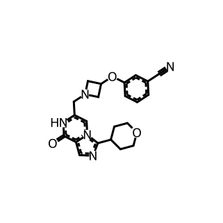 N#Cc1cccc(OC2CN(Cc3cn4c(C5CCOCC5)ncc4c(=O)[nH]3)C2)c1